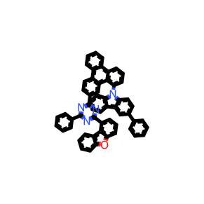 c1ccc(-c2ccc3c(c2)c2ccccc2n3-c2cccc3c4ccccc4c4ccc(-c5nc(-c6ccccc6)nc(-c6cccc7oc8ccccc8c67)n5)cc4c23)cc1